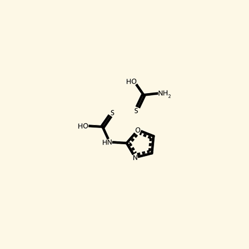 NC(O)=S.OC(=S)Nc1ncco1